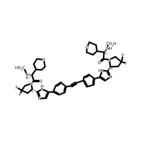 O=C(O)N[C@@H](C(=O)N1CC(F)(F)C[C@H]1c1ncc(-c2ccc(C#Cc3ccc(-c4cnc([C@@H]5CC(F)(F)CN5C(=O)[C@H](NC(=O)O)C5CCOCC5)[nH]4)cc3)cc2)[nH]1)C1CCOCC1